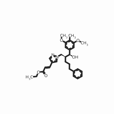 CCOC(=O)/C=C/c1cnn(C[C@H](CCCc2ccccc2)[C@H](O)c2cc(OC)c(C)c(OC)c2)c1